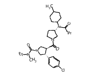 CCN(C)C(=O)N1C[C@@H](C(=O)N2CC[C@H](N(C(=O)C(C)C)C3CCC(C)CC3)C2)[C@H](c2ccc(Cl)cc2)C1